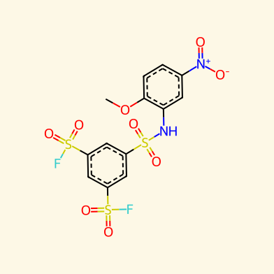 COc1ccc([N+](=O)[O-])cc1NS(=O)(=O)c1cc(S(=O)(=O)F)cc(S(=O)(=O)F)c1